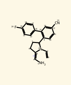 C=CN1/C(=C\N)CCC1c1ccc(C#N)cc1-c1ccc(F)cc1